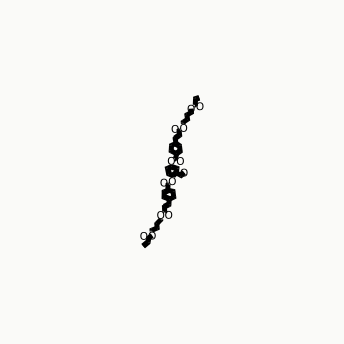 C=CC(=O)OCCCCOC(=O)/C=C/C1=CC=C(C(=O)Oc2ccc(OC(=O)C3=CC=C(/C=C/C(=O)OCCCCOC(=O)C=C)CC3)c(C=O)c2)CC1